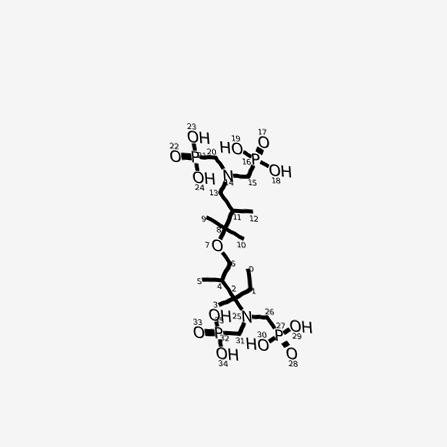 CCC(C)(C(C)COC(C)(C)C(C)CN(CP(=O)(O)O)CP(=O)(O)O)N(CP(=O)(O)O)CP(=O)(O)O